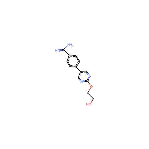 N=C(N)c1ccc(-c2cnc(OCCO)nc2)cc1